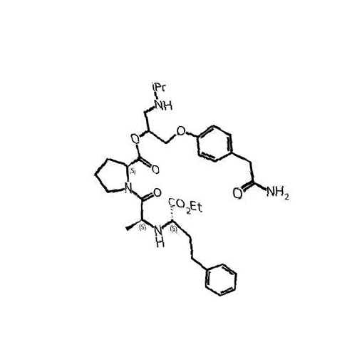 CCOC(=O)[C@H](CCc1ccccc1)N[C@@H](C)C(=O)N1CCC[C@H]1C(=O)OC(CNC(C)C)COc1ccc(CC(N)=O)cc1